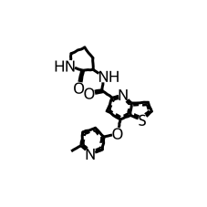 Cc1ccc(Oc2cc(C(=O)NC3CCCNC3=O)nc3ccsc23)cn1